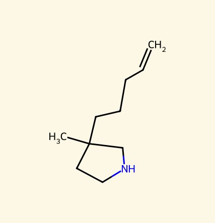 C=CCCCC1(C)CCNC1